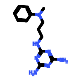 CN(CCCNc1nc(N)nc(N)n1)c1ccccc1